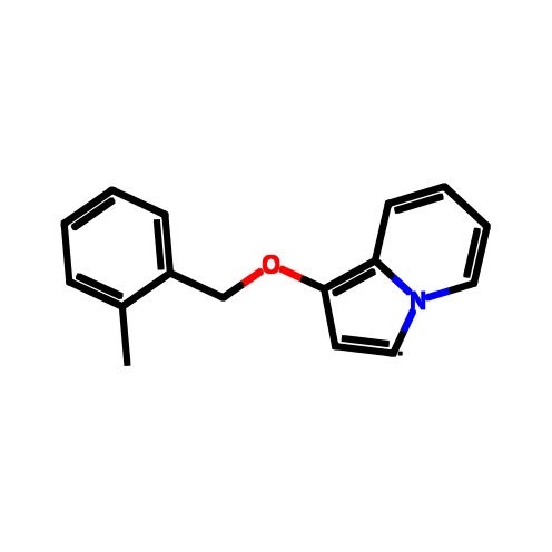 Cc1ccccc1COc1c[c]n2ccccc12